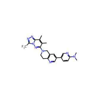 Cc1c(N2CCc3ncc(-c4ccc(N(C)C)nc4)cc3C2)nn2c(C(F)(F)F)nnc2c1C